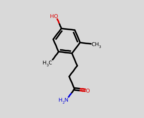 Cc1cc(O)cc(C)c1CCC(N)=O